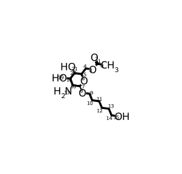 CC(=O)OCC1O[C@@H](OCCCCCCO)[C@@H](N)C(O)[C@H]1O